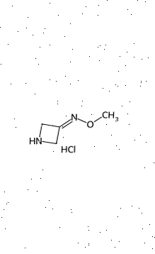 CON=C1CNC1.Cl